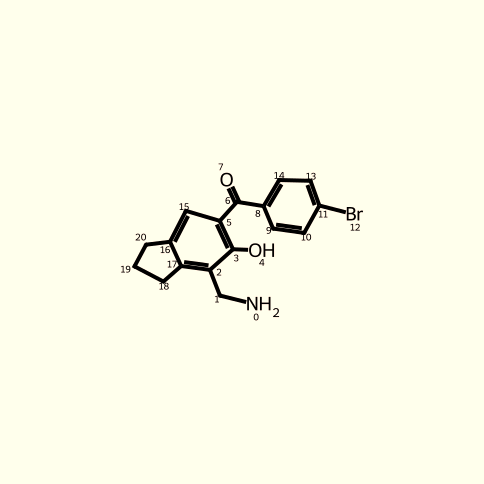 NCc1c(O)c(C(=O)c2ccc(Br)cc2)cc2c1CCC2